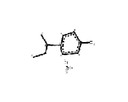 CCC(C)c1ccc([O-])cc1.[Cl-].[Zr+2]